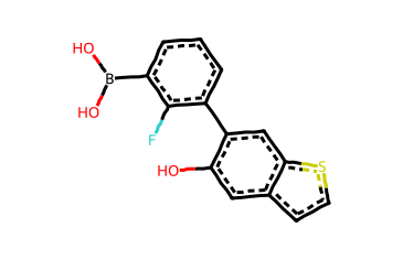 OB(O)c1cccc(-c2cc3sccc3cc2O)c1F